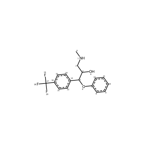 CNCC(O)C(Oc1ccccc1)c1ccc(C(F)(F)F)cc1